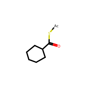 CC(=O)SC(=O)C1CCCCC1